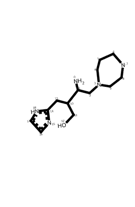 NC(CN1CCC[N]CC1)C(CO)Cc1ncc[nH]1